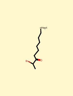 CCCCCCCCCCCCCC(=O)C(C)Br